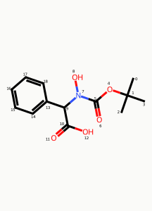 CC(C)(C)OC(=O)N(O)C(C(=O)O)c1ccccc1